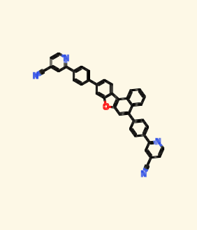 N#Cc1ccnc(-c2ccc(-c3ccc4c(c3)oc3cc(-c5ccc(-c6cc(C#N)ccn6)cc5)c5ccccc5c34)cc2)c1